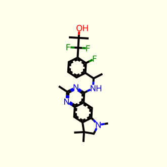 Cc1nc(NC(C)c2cccc(C(F)(F)C(C)(C)O)c2F)c2cc3c(cc2n1)C(C)(C)CN3C